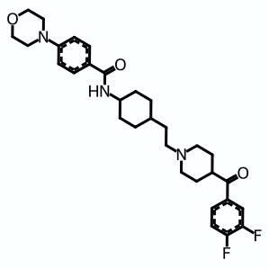 O=C(NC1CCC(CCN2CCC(C(=O)c3ccc(F)c(F)c3)CC2)CC1)c1ccc(N2CCOCC2)cc1